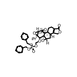 CC(C)[C@]12O[C@H]1[C@@H]1O[C@]13[C@]1(O[C@H]1C[C@H]1C4=C(CC[C@@]13C)C(=O)OC4)[C@@H]2OCOP(=O)(OCc1ccccc1)OCc1ccccc1